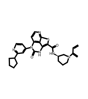 C=CC(=C)N1CCC[C@@H](NC(=O)c2sc3nccc4c3c2NC(=O)N4c2ccnc(C3CCCC3)c2)C1